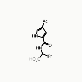 CC(=O)c1c[nH]c(C(=O)NC(C(=O)O)C(C)C)c1